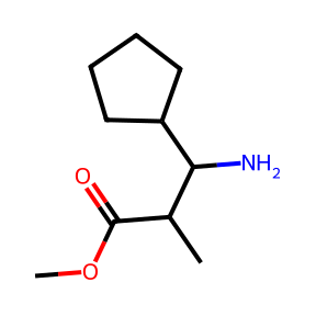 COC(=O)C(C)C(N)C1CCCC1